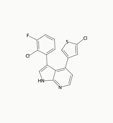 Fc1cccc(-c2c[nH]c3nccc(-c4csc(Cl)c4)c23)c1Cl